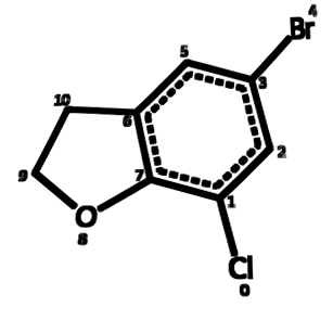 Clc1cc(Br)cc2c1OCC2